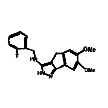 COc1cc2c(cc1OC)-c1n[nH]c(NCc3ccccc3F)c1C2